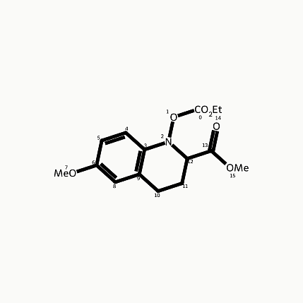 CCOC(=O)ON1c2ccc(OC)cc2CCC1C(=O)OC